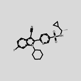 C[C@H](NS(=O)(=O)c1ccc(-c2c(C#N)c3ccc(F)cc3n2C2CCCCC2)nc1)C1CC1